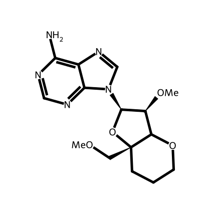 COC[C@]12CCCOC1[C@H](OC)[C@H](n1cnc3c(N)ncnc31)O2